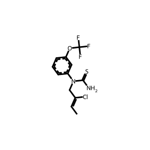 CC=C(Cl)CN(C(N)=S)c1cccc(OC(F)(F)F)c1